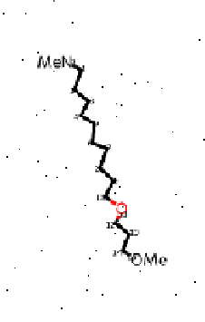 CNCCCCCCCCCCOCCCOC